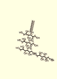 OC[C@@H](O)[C@@H](O)[C@H](O)[C@H](O)CO.OC[C@@H](O)[C@@H](O)[C@H](O)[C@H](O)CO.OC[C@@H](O)[C@@H](O)[C@H](O)[C@H](O)CO.OC[C@@H](O)[C@@H](O)[C@H](O)[C@H](O)CO.[Xe].[Xe].[Xe].[Xe].[Xe].[Xe].[Xe].[Xe]